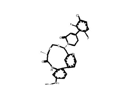 C[C@@H]1CCC[C@H](N2CCC(c3c(F)ccc(Cl)c3F)=CC2=O)c2cc(ccn2)-c2ccc(NC(=O)O)cc2NC1=O